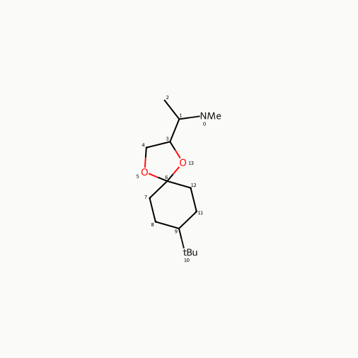 CNC(C)C1COC2(CCC(C(C)(C)C)CC2)O1